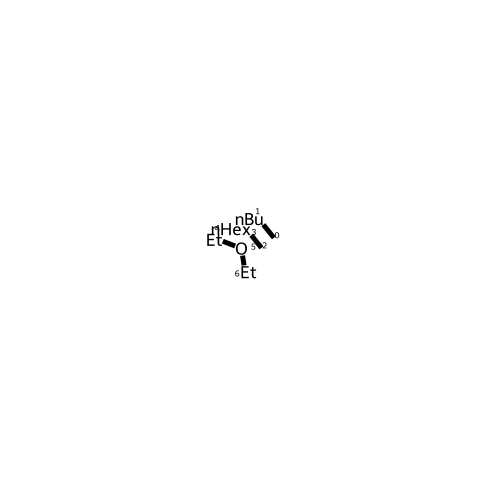 CCCCC.CCCCCCC.CCOCC